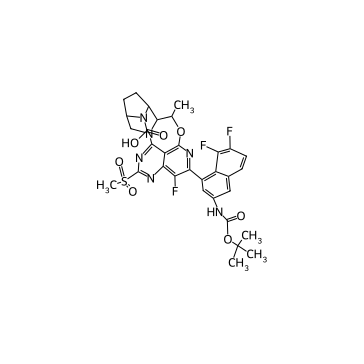 CC1Oc2nc(-c3cc(NC(=O)OC(C)(C)C)cc4ccc(F)c(F)c34)c(F)c3nc(S(C)(=O)=O)nc(c23)N2CC3CCC(C12)N3C(=O)O